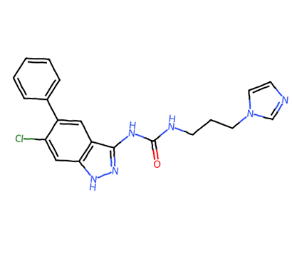 O=C(NCCCn1ccnc1)Nc1n[nH]c2cc(Cl)c(-c3ccccc3)cc12